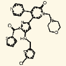 O=C(c1cccs1)n1nc(-c2cn(CN3CCOCC3)c(=O)cc2-c2ccncc2)cc1NCc1ccc(Cl)s1